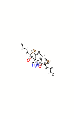 CCCCC(Br)C(=O)C1(C)C=CCC(C)(C(=O)C(Br)CCCC)C1N